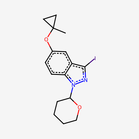 CC1(Oc2ccc3c(c2)c(I)nn3C2CCCCO2)CC1